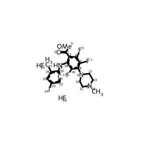 COC(=O)c1c(F)c(F)c(N2CCN(C)CC2)c(F)c1Nc1ccc(I)cc1C.F.F